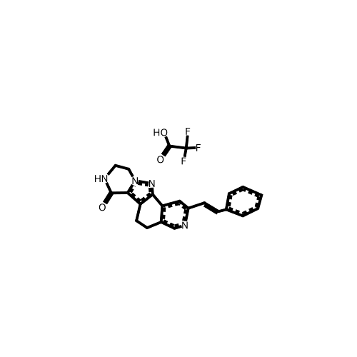 O=C(O)C(F)(F)F.O=C1NCCn2nc3c(c21)CCc1cnc(C=Cc2ccccc2)cc1-3